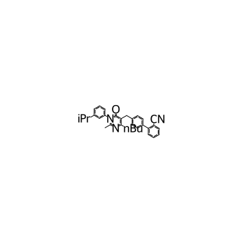 CCCCc1nc(C)n(-c2cccc(C(C)C)c2)c(=O)c1Cc1ccc(-c2ccccc2C#N)cc1